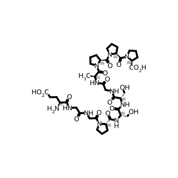 C[C@H](NC(=O)CNC(=O)[C@H](CO)NC(=O)[C@H](CO)NC(=O)[C@@H]1CCCN1C(=O)CNC(=O)CNC(=O)[C@@H](N)CCC(=O)O)C(=O)N1CCC[C@H]1C(=O)N1CCC[C@H]1C(=O)N1CCC[C@H]1C(=O)O